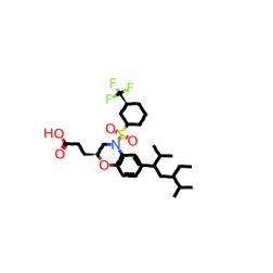 CCC(CC(c1ccc2c(c1)N(S(=O)(=O)C1CCC[C@H](C(F)(F)F)C1)C[C@H](CCC(=O)O)O2)C(C)C)C(C)C